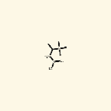 CCN(CC)[SiH2]C(C)[Si](C)(C)C